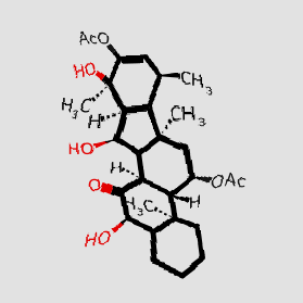 CC(=O)OC1=C[C@@H](C)C2[C@@H]([C@H](O)C3[C@@H]4C(=O)[C@H](O)C5CCCC[C@]5(C)[C@H]4[C@H](OC(C)=O)C[C@@]32C)[C@@]1(C)O